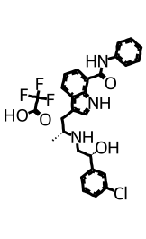 C[C@H](Cc1c[nH]c2c(C(=O)Nc3ccccc3)cccc12)NC[C@H](O)c1cccc(Cl)c1.O=C(O)C(F)(F)F